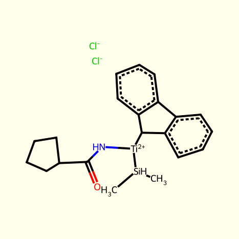 C[SiH](C)[Ti+2]([NH]C(=O)C1CCCC1)[CH]1c2ccccc2-c2ccccc21.[Cl-].[Cl-]